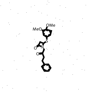 COc1ccc(SC2CC(=O)N2CC(=O)CCc2ccccc2)cc1OC